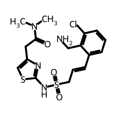 CN(C)C(=O)Cc1csc(NS(=O)(=O)CC=Cc2cccc(Cl)c2CN)n1